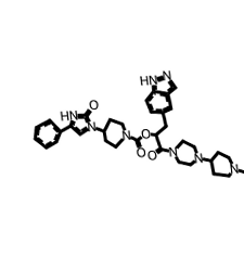 CN1CCC(N2CCN(C(=O)C(Cc3ccc4[nH]ncc4c3)OC(=O)N3CCC(n4cc(-c5ccccc5)[nH]c4=O)CC3)CC2)CC1